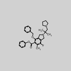 Cc1c(F)c2c(c(OCc3ccccc3)c1C(=O)Oc1ccccc1)CN(C(C)(C)CN1CCCC1)C2